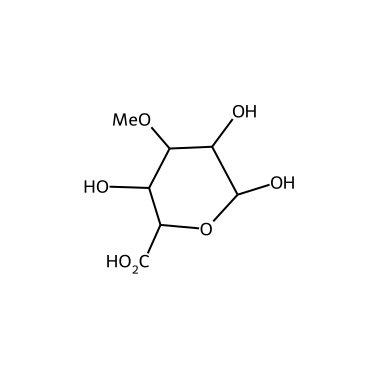 COC1C(O)C(O)OC(C(=O)O)C1O